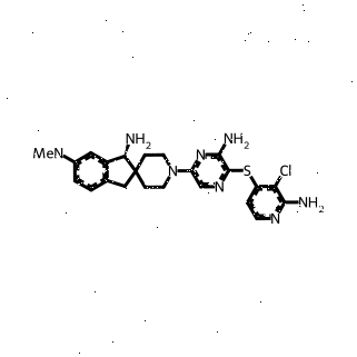 CNc1ccc2c(c1)[C@@H](N)C1(CCN(c3cnc(Sc4ccnc(N)c4Cl)c(N)n3)CC1)C2